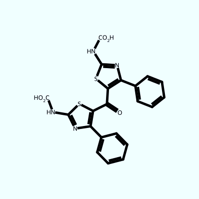 O=C(O)Nc1nc(-c2ccccc2)c(C(=O)c2sc(NC(=O)O)nc2-c2ccccc2)s1